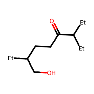 CCC(CO)CCC(=O)C(CC)CC